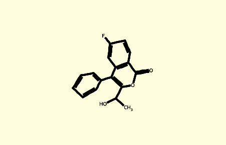 CC(O)c1oc(=O)c2ccc(F)cc2c1-c1ccccc1